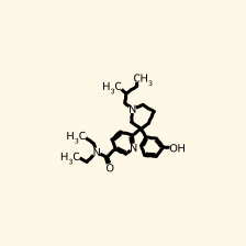 CCC(C)CN1CCCC(c2cccc(O)c2)(c2ccc(C(=O)N(CC)CC)cn2)C1